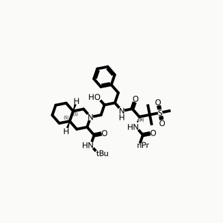 CCCC(=O)N[C@H](C(=O)NC(Cc1ccccc1)C(O)CN1C[C@H]2CCCC[C@H]2CC1C(=O)NC(C)(C)C)C(C)(C)S(C)(=O)=O